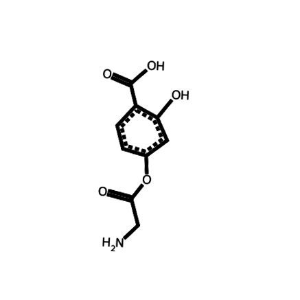 NCC(=O)Oc1ccc(C(=O)O)c(O)c1